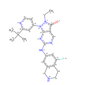 CCn1c(=O)c2cnc(Nc3cc(F)c4c(c3)CNCC4)nc2n1-c1ccnc(C(C)(C)C)c1